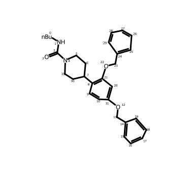 CCCCNC(=O)N1CCC(c2ccc(OCc3ccccc3)cc2OCc2ccccc2)CC1